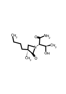 CCCC[C@@]1(C)CN([C@H](C(N)=O)[C@@H](C)O)C1=O